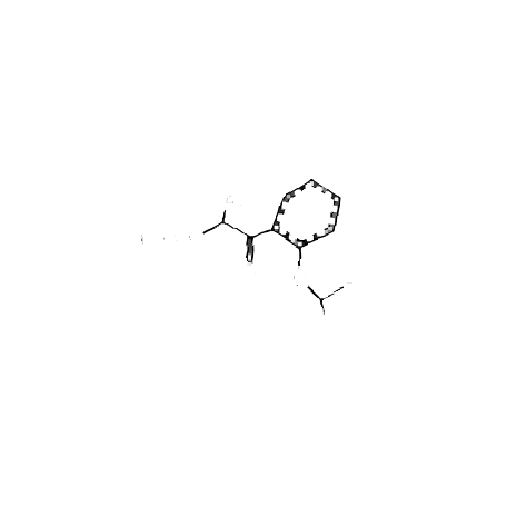 CCOC(=O)C(C(C)=O)C(=O)c1ccccc1OC(F)F